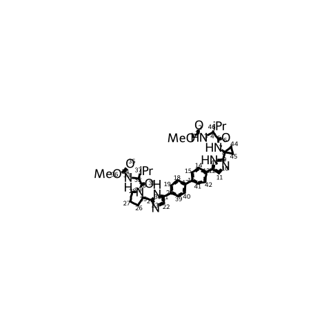 COC(=O)NC(C(=O)NC1(c2ncc(-c3ccc(-c4ccc(-c5cnc(C6CCCN6C(=O)C(NC(=O)OC)C(C)C)[nH]5)cc4)cc3)[nH]2)CC1)C(C)C